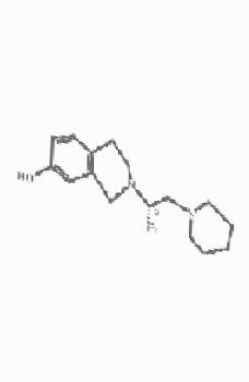 CC(C)[C@@H](CN1CCCCC1)N1CCc2ccc(O)cc2C1